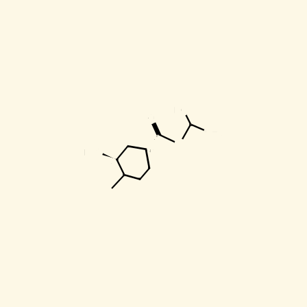 CC(C)OC(=O)[C@@H]1CCC(C)[C@@H](C)C1